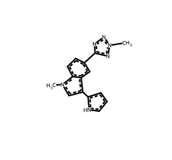 Cn1nnc(-c2ccc3c(c2)c(-c2ccc[nH]2)cn3C)n1